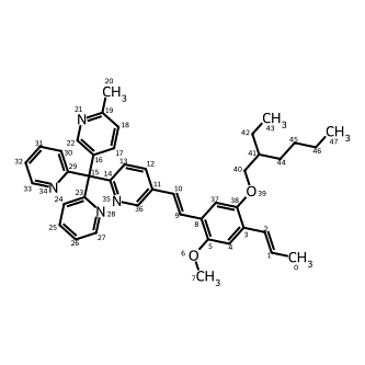 CC=Cc1cc(OC)c(C=Cc2ccc(C(c3ccc(C)nc3)(c3ccccn3)c3ccccn3)nc2)cc1OCC(CC)CCCC